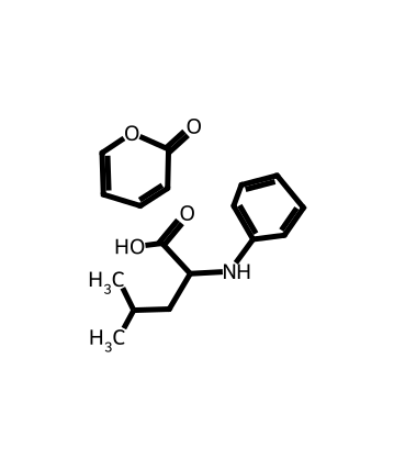 CC(C)CC(Nc1ccccc1)C(=O)O.O=c1cccco1